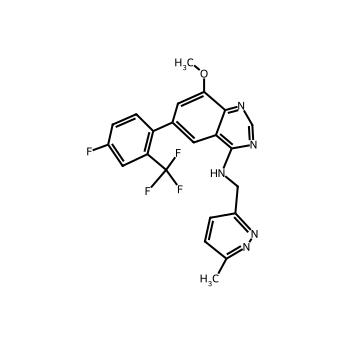 COc1cc(-c2ccc(F)cc2C(F)(F)F)cc2c(NCc3ccc(C)nn3)ncnc12